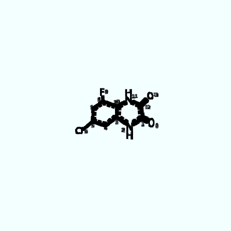 O=c1[nH]c2cc(Cl)cc(F)c2[nH]c1=O